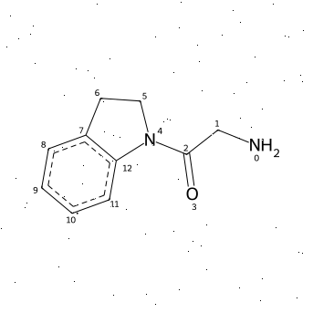 NCC(=O)N1CCc2cc[c]cc21